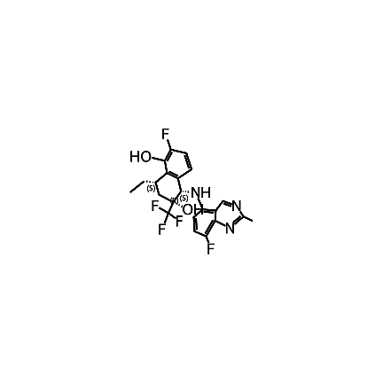 CC[C@H]1C[C@](O)(C(F)(F)F)[C@@H](Nc2ccc(F)c3nc(C)ncc23)c2ccc(F)c(O)c21